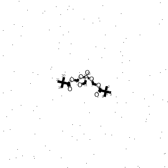 CC(C)(C)C(=O)OCOP(=O)(C[O])OCOC(=O)C(C)(C)C